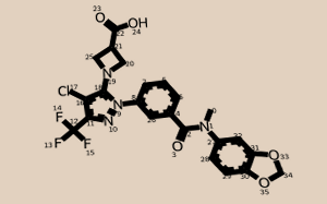 CN(C(=O)c1cccc(-n2nc(C(F)(F)F)c(Cl)c2N2CC(C(=O)O)C2)c1)c1ccc2c(c1)OCO2